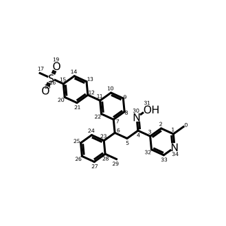 Cc1cc(C(CC(c2cccc(-c3ccc(S(C)(=O)=O)cc3)c2)c2ccccc2C)=NO)ccn1